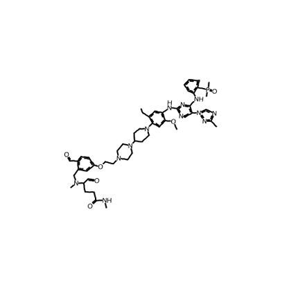 CCc1cc(Nc2ncc(-n3cnc(C)n3)c(Nc3ccccc3P(C)(C)=O)n2)c(OC)cc1N1CCC(N2CCN(CCOc3ccc(C=O)c(CN(C)C(C=O)CCC(=O)NC)c3)CC2)CC1